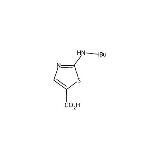 CCC(C)Nc1ncc(C(=O)O)s1